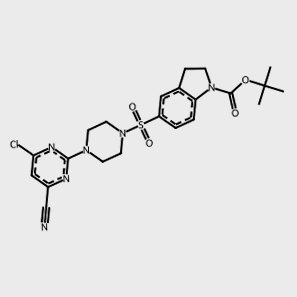 CC(C)(C)OC(=O)N1CCc2cc(S(=O)(=O)N3CCN(c4nc(Cl)cc(C#N)n4)CC3)ccc21